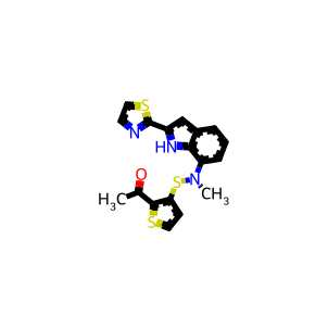 CC(=O)c1sccc1SN(C)c1cccc2cc(-c3nccs3)[nH]c12